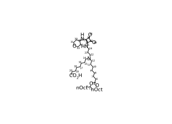 CCCCCCCCC(CCCCCCCC)OC(=O)CCCCCCCN(CCCCCCCC(=O)O)CCCNc1c(NC2CCOCC2)c(=O)c1=O